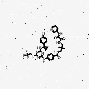 CC(C)(CNC(=O)C(=O)Nc1cccnc1)CNC(=O)c1ccc(Nc2nc(NC3(c4ccc(Cl)cc4)CC3)nc(OCC(F)(F)F)n2)cc1